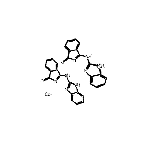 O=C1N=C(Nc2nc3ccccc3[nH]2)c2ccccc21.O=C1N=C(Nc2nc3ccccc3[nH]2)c2ccccc21.[Co]